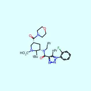 CCCc1c(C(=O)N(CC(C)C)[C@H]2C[C@@H](C(=O)N3CCOCC3)CN(C(=O)O)C2C(C)(C)C)nnn1-c1ccccc1F